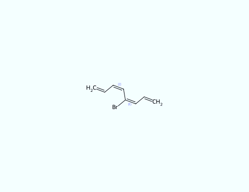 C=C/C=C\C(Br)=C/C=C